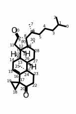 CC(C)CCC[C@@H](C)[C@H]1C(=O)C[C@H]2[C@@H]3CC=C4C5(CC5)C(=O)CC[C@]4(C)[C@H]3CC[C@]12C